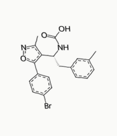 Cc1cccc(C[C@@H](NC(=O)O)c2c(C)noc2-c2ccc(Br)cc2)c1